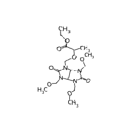 CCOC(=O)C(C)OCN1C(=O)N(COC)C2C1N(COC)C(=O)N2COC